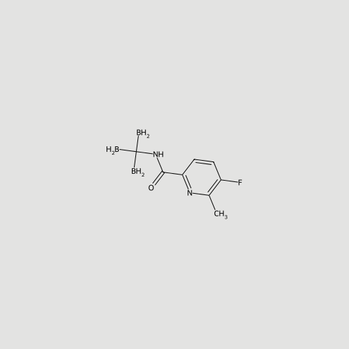 BC(B)(B)NC(=O)c1ccc(F)c(C)n1